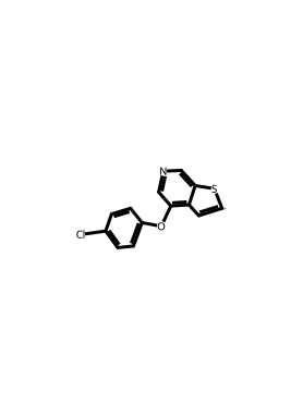 Clc1ccc(Oc2cncc3s[c]cc23)cc1